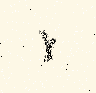 CCN1CCN(c2ccc(NC(=O)C(NCCc3ccc(C#N)cc3)c3ccccc3)nc2)C1=O